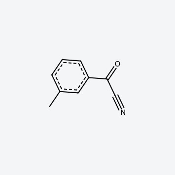 Cc1cccc(C(=O)C#N)c1